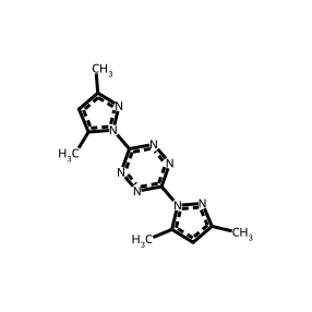 Cc1cc(C)n(-c2nnc(-n3nc(C)cc3C)nn2)n1